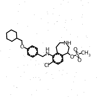 CS(=O)(=O)OC1CNCCc2c1ccc(Cl)c2NCc1ccc(OCC2CCCCC2)cc1